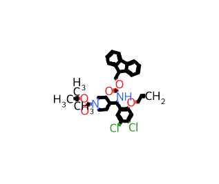 C=CCOc1cc(Cl)c(Cl)cc1C(NC(=O)OCC1c2ccccc2-c2ccccc21)C1CCN(C(=O)OC(C)(C)C)CC1